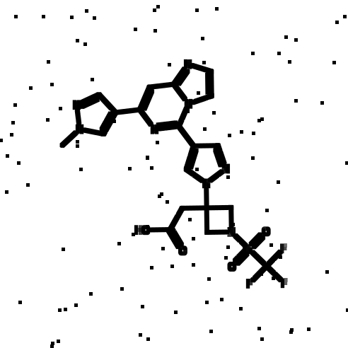 Cn1cc(-c2cc3nccn3c(-c3cnn(C4(CC(=O)O)CN(S(=O)(=O)C(F)(F)F)C4)c3)n2)cn1